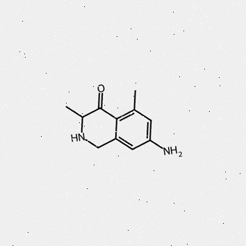 Cc1cc(N)cc2c1C(=O)C(C)NC2